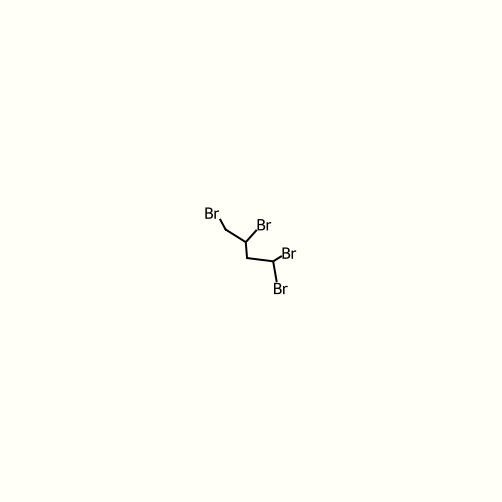 BrCC(Br)CC(Br)Br